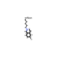 CCCCCCCCCCCCCC[n+]1ccc2cc(C)ccc2c1